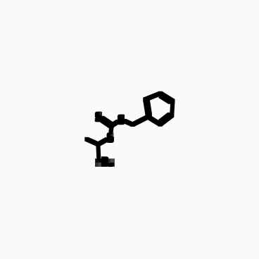 CCCCC(C)SC(=S)SCc1ccccc1